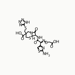 Nc1nc(C(=NOCC(=O)O)C(=O)NC2C(=O)N3CC(CSc4nnn[nH]4)(C(=O)O)CS[C@H]23)cs1